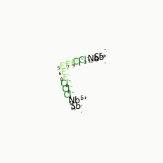 [Cl-].[Cl-].[Cl-].[Cl-].[Cl-].[F-].[F-].[F-].[F-].[F-].[Nb+5].[Nb+5].[Sb].[Sb]